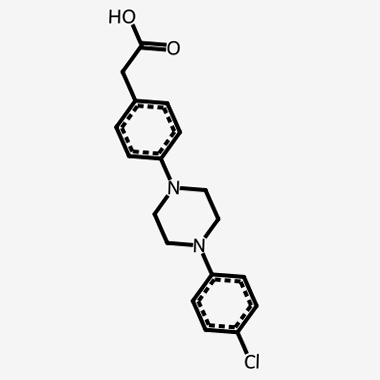 O=C(O)Cc1ccc(N2CCN(c3ccc(Cl)cc3)CC2)cc1